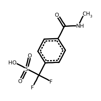 CNC(=O)c1ccc(C(F)(F)S(=O)(=O)O)cc1